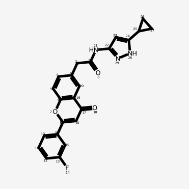 O=C(Cc1ccc2oc(-c3cccc(F)c3)cc(=O)c2c1)Nc1cc(C2CC2)[nH]n1